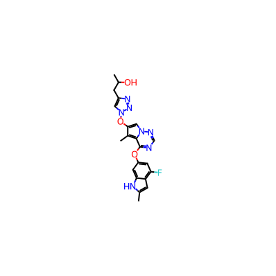 Cc1cc2c(F)cc(Oc3ncnn4cc(On5cc(CC(C)O)nn5)c(C)c34)cc2[nH]1